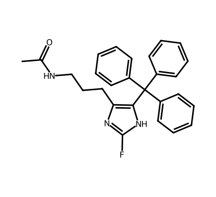 CC(=O)NCCCc1nc(F)[nH]c1C(c1ccccc1)(c1ccccc1)c1ccccc1